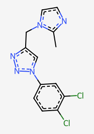 Cc1nccn1Cc1cn(-c2ccc(Cl)c(Cl)c2)nn1